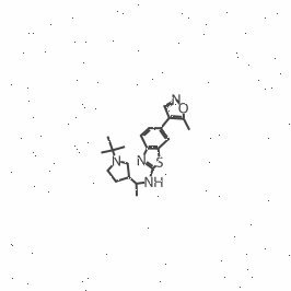 Cc1oncc1-c1ccc2nc(NC(C)C3CCN(C(C)(C)C)C3)sc2c1